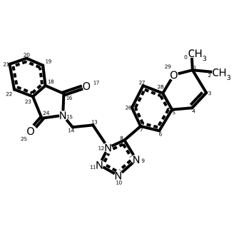 CC1(C)C=Cc2cc(-c3nnnn3CCN3C(=O)c4ccccc4C3=O)ccc2O1